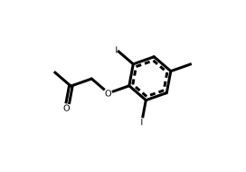 CC(=O)COc1c(I)cc(C)cc1I